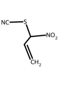 C=CC(SC#N)[N+](=O)[O-]